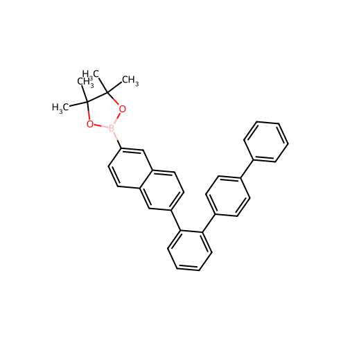 CC1(C)OB(c2ccc3cc(-c4ccccc4-c4ccc(-c5ccccc5)cc4)ccc3c2)OC1(C)C